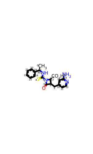 C[C@@H](NC(=S)N1C(=O)C(Cc2ccnc(N)c2)C1C(=O)O)c1ccccc1